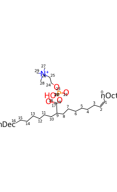 CCCCCCCC/C=C\CCCCCCC(CCCCCCCCCCCCCCCC)C(=O)OP(=O)(O)OCC[N+](C)(C)C